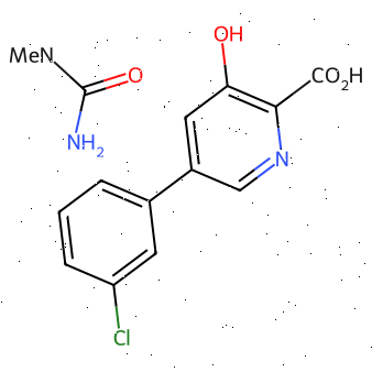 CNC(N)=O.O=C(O)c1ncc(-c2cccc(Cl)c2)cc1O